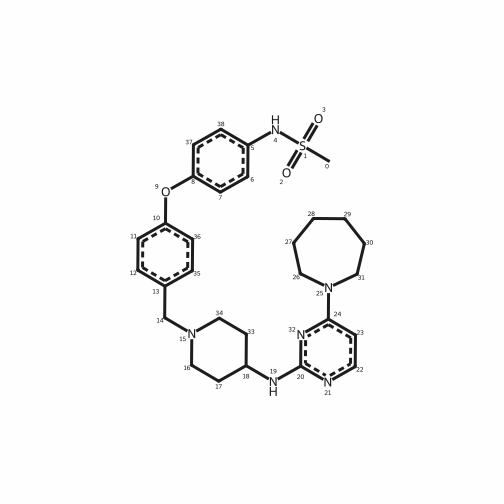 CS(=O)(=O)Nc1ccc(Oc2ccc(CN3CCC(Nc4nccc(N5CCCCCC5)n4)CC3)cc2)cc1